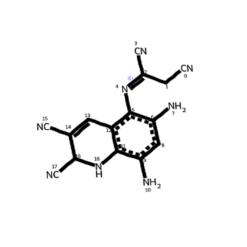 N#CC/C(C#N)=N\c1c(N)cc(N)c2c1C=C(C#N)C(C#N)N2